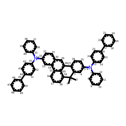 CC1(C)c2cc(N(c3ccccc3)c3ccc(-c4ccccc4)cc3)ccc2-c2cc3ccc(N(c4ccccc4)c4ccc(-c5ccccc5)cc4)cc3c3cccc1c23